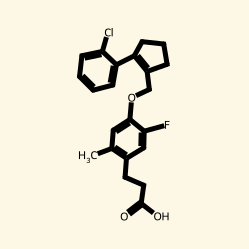 Cc1cc(OCC2=C(c3ccccc3Cl)CCC2)c(F)cc1CCC(=O)O